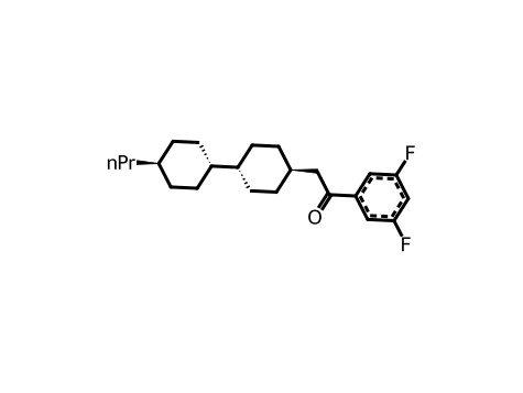 CCC[C@H]1CC[C@H]([C@H]2CC[C@H](CC(=O)c3cc(F)cc(F)c3)CC2)CC1